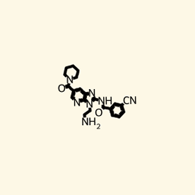 N#Cc1cccc(C(=O)Nc2nc3cc(C(=O)N4CCCCC4)cnc3n2CCN)c1